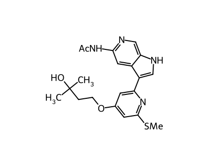 CSc1cc(OCCC(C)(C)O)cc(-c2c[nH]c3cnc(NC(C)=O)cc23)n1